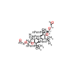 CCCCCC(C)(C)c1cc(-c2cc(C(C)(C)CCCCC)c(OCCOCC3CO3)c(C(C)(C)CCCCC)c2)cc(C(C)(C)CCCCC)c1OCCOCC1CO1